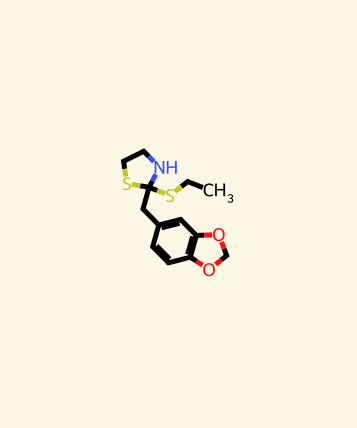 CCSC1(Cc2ccc3c(c2)OCO3)NCCS1